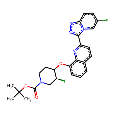 CC(C)(C)OC(=O)N1CC[C@@H](Oc2cccc3ccc(-c4nnc5ccc(F)cn45)nc23)[C@@H](F)C1